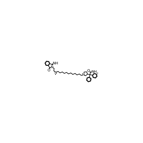 CN(CCCCCCCCCCCCN1CCC(C(C(N)=O)(c2ccccc2)c2ccccc2)C1)CCN1C(=N)c2ccccc2C1=O